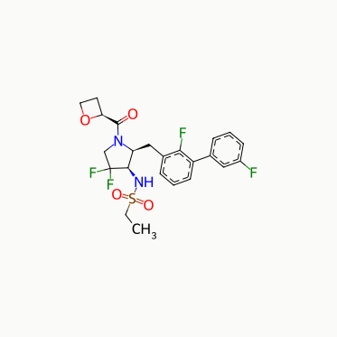 CCS(=O)(=O)N[C@@H]1[C@H](Cc2cccc(-c3cccc(F)c3)c2F)N(C(=O)[C@@H]2CCO2)CC1(F)F